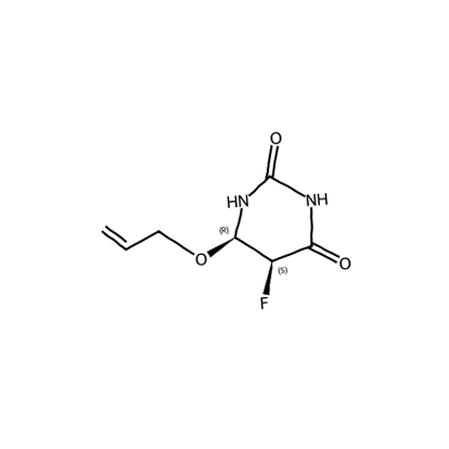 C=CCO[C@H]1NC(=O)NC(=O)[C@H]1F